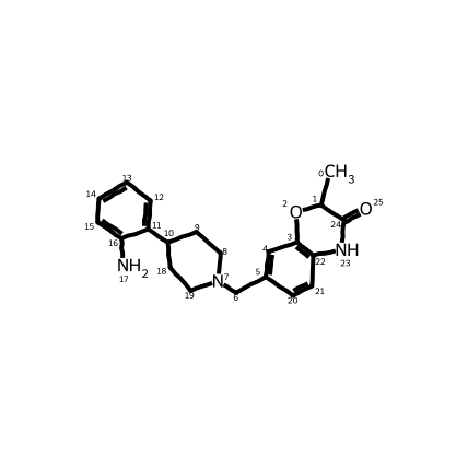 CC1Oc2cc(CN3CCC(c4ccccc4N)CC3)ccc2NC1=O